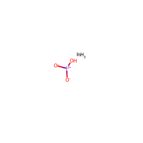 [InH3].[O-][I+2]([O-])O